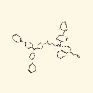 C=C/C=C(\C=C/CN(/C(C)=C/C=C(\C)c1ccc(N(c2ccc(-c3ccccc3)cc2)c2ccc(-c3ccccc3)cc2)cc1)c1ccc(-c2ccccc2)cc1)c1ccccc1